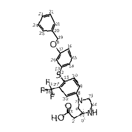 C[C@]1(CC(=O)O)CN(c2ccc(Sc3cccc(OCc4ccccc4)c3)c(C(F)(F)F)c2)CCN1